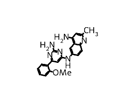 COc1ccccc1-c1cc(Nc2ccc3nc(C)cc(N)c3c2)nc(N)n1